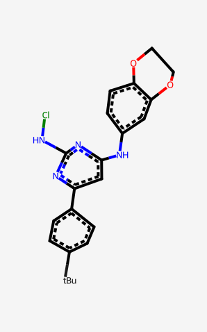 CC(C)(C)c1ccc(-c2cc(Nc3ccc4c(c3)OCCO4)nc(NCl)n2)cc1